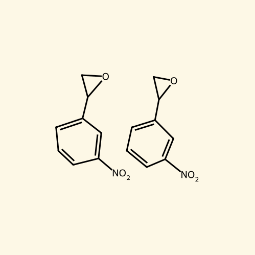 O=[N+]([O-])c1cccc(C2CO2)c1.O=[N+]([O-])c1cccc(C2CO2)c1